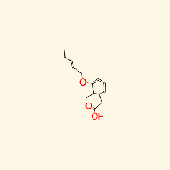 CCC=CCOc1cccc(CC(=O)O)c1C